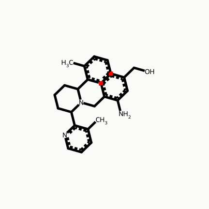 Cc1cccnc1C1CCCC(c2ncccc2C)N1Cc1ccc(CO)cc1N